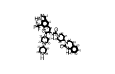 O=C(NC(Cc1cc(C(F)(F)F)c2[nH]ncc2c1)C(=O)N1CCN(C2CCNCC2)CC1)N1CCC(N2CCc3ccccc3NC2=O)CC1